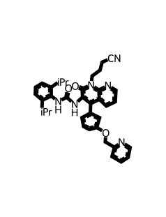 CC(C)c1cccc(C(C)C)c1NC(=O)Nc1c(-c2cccc(OCc3ccccn3)c2)c2cccnc2n(CCCC#N)c1=O